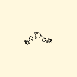 c1cc(CN2CCNCCN(Cc3cccc(-c4nnn[nH]4)n3)CC2)nc(-c2nnn[nH]2)c1